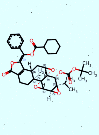 CC(C)[C@]12O[C@H]1[C@@H]1O[C@]13[C@]1(O[C@H]1C[C@H]1C4=C(CC[C@@]13C)C(=O)O/C4=C(/OC(=O)C1CCCCC1)c1ccccc1)[C@@H]2OC(=O)OC(C)(C)C